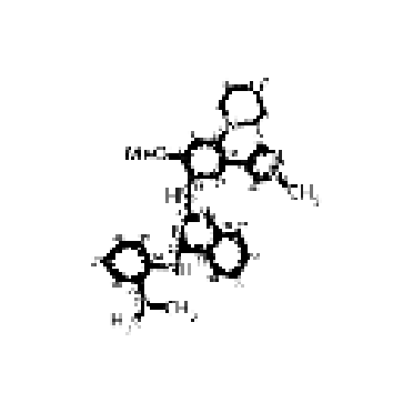 COc1cc(N2CCOCC2)c(-c2cnn(C)c2)cc1Nc1nc(Nc2ccccc2P(C)C)c2ccccc2n1